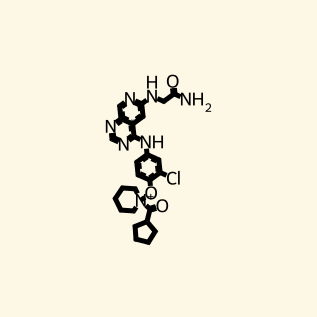 NC(=O)CNc1cc2c(Nc3ccc(O[N+]4(C(=O)C5CCCC5)CCCCC4)c(Cl)c3)ncnc2cn1